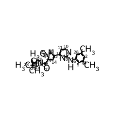 Cc1cc(C)cc(Nc2nccc(-c3cc(C(=O)NCC(C)(C)C)n(C)n3)n2)c1